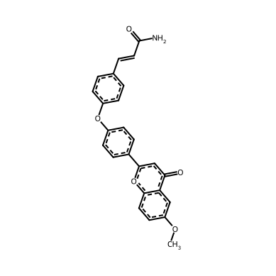 COc1ccc2oc(-c3ccc(Oc4ccc(C=CC(N)=O)cc4)cc3)cc(=O)c2c1